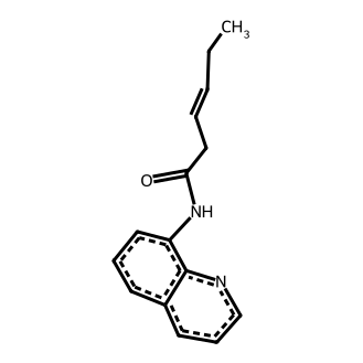 CC/C=C/CC(=O)Nc1cccc2cccnc12